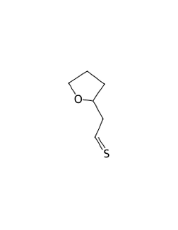 S=CCC1CCCO1